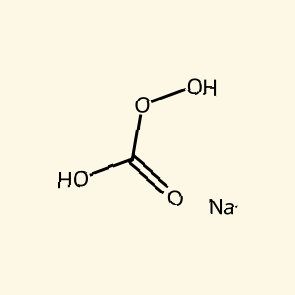 O=C(O)OO.[Na]